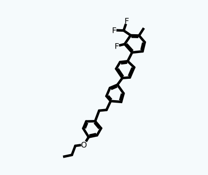 CCCOc1ccc(CCc2ccc(-c3ccc(-c4ccc(C)c(C(F)F)c4F)cc3)cc2)cc1